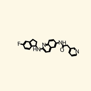 O=C(Cc1cccnc1)Nc1ccc2nc(NC3CCc4cc(F)ccc43)ccc2c1